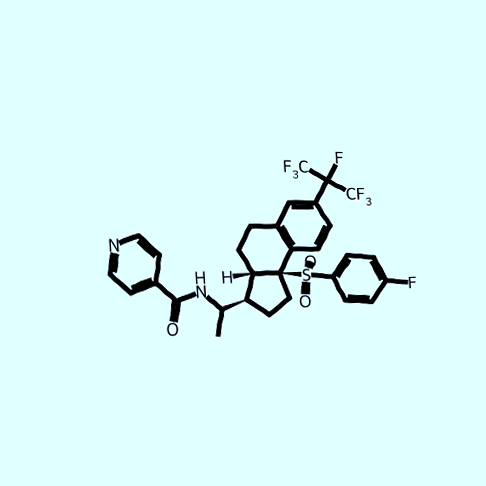 CC(NC(=O)c1ccncc1)[C@@H]1CC[C@@]2(S(=O)(=O)c3ccc(F)cc3)c3ccc(C(F)(C(F)(F)F)C(F)(F)F)cc3CC[C@@H]12